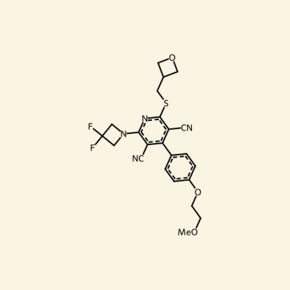 COCCOc1ccc(-c2c(C#N)c(SCC3COC3)nc(N3CC(F)(F)C3)c2C#N)cc1